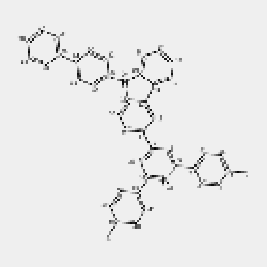 Cc1ccc(-c2cc(-c3ccc4c(c3)c3ccccc3n4-c3ccc(-c4ccccc4)cc3)nc(-c3ccc(C)cc3)n2)cc1